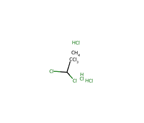 C.Cl.Cl.Cl.ClC(Cl)C(Cl)(Cl)Cl